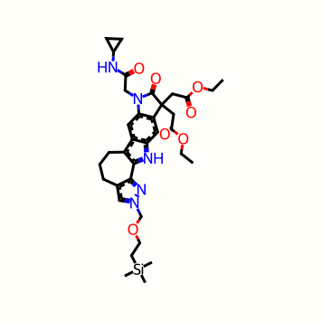 CCOC(=O)CC1(CC(=O)OCC)C(=O)N(CC(=O)NC2CC2)c2cc3c4c([nH]c3cc21)-c1nn(COCC[Si](C)(C)C)cc1CCC4